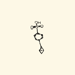 O=S(=O)(O)c1ccc(C2C3CC32)cc1